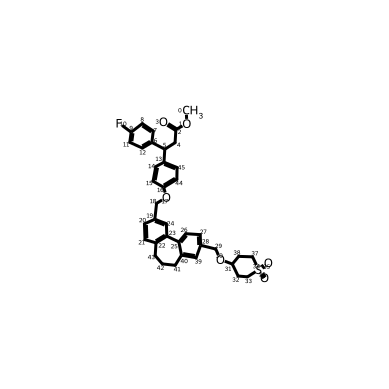 COC(=O)CC(c1ccc(F)cc1)c1ccc(OCc2ccc3c(c2)-c2ccc(COC4CCS(=O)(=O)CC4)cc2CCC3)cc1